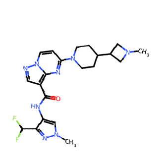 CN1CC(C2CCN(c3ccn4ncc(C(=O)Nc5cn(C)nc5C(F)F)c4n3)CC2)C1